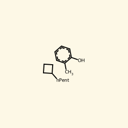 CCCCCC1CCC1.Cc1ccccc1O